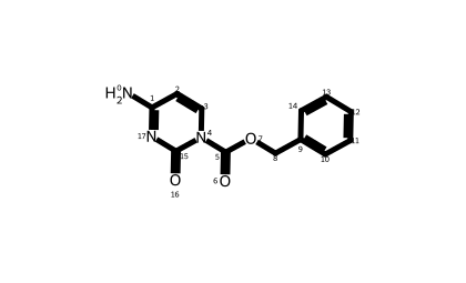 Nc1[c]cn(C(=O)OCc2ccccc2)c(=O)n1